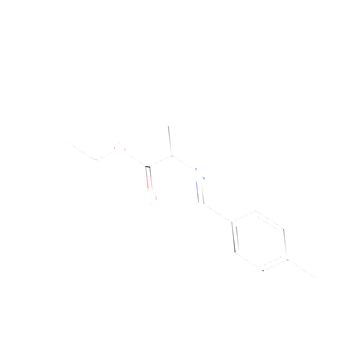 CCOC(=O)C(C)N=Cc1ccc(C)cc1